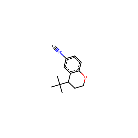 [C-]#[N+]c1ccc2c(c1)C(C(C)(C)C)CCO2